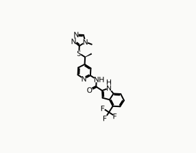 C[C@H](Sc1nncn1C)c1ccnc(NC(=O)c2cc3c(C(F)(F)F)cccc3[nH]2)c1